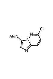 CNc1cnc2ccc(Cl)nn12